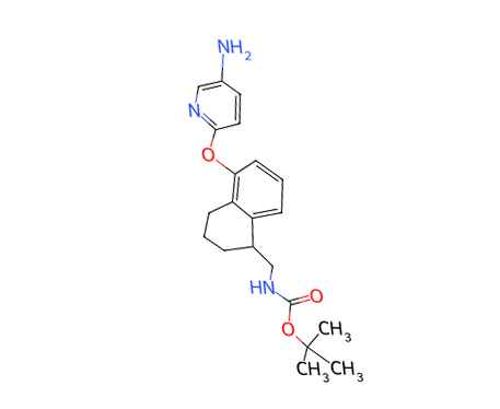 CC(C)(C)OC(=O)NCC1CCCc2c(Oc3ccc(N)cn3)cccc21